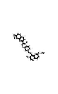 COc1ccc2ncc(F)c(CCN3CC[C@@H](N(C)C(=O)c4ccc5c(n4)NC(=O)CS5)[C@@H](F)C3)c2n1